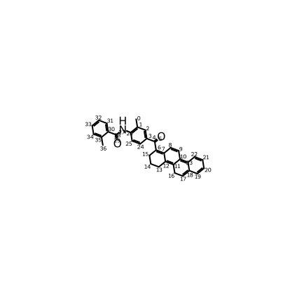 Cc1cc(C(=O)C2=c3ccc4c(c3CCC2)CC=c2ccccc2=4)ccc1NC(=O)c1ccccc1C